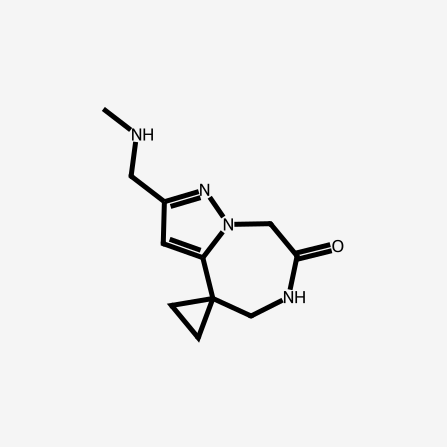 CNCc1cc2n(n1)CC(=O)NCC21CC1